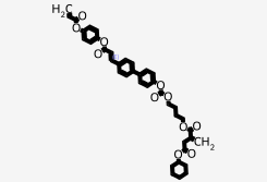 C=CC(=O)Oc1ccc(OC(=O)/C=C/c2ccc(-c3ccc(OC(=O)OCCCCOC(=O)C(=C)CC(=O)OC4CCCCC4)cc3)cc2)cc1